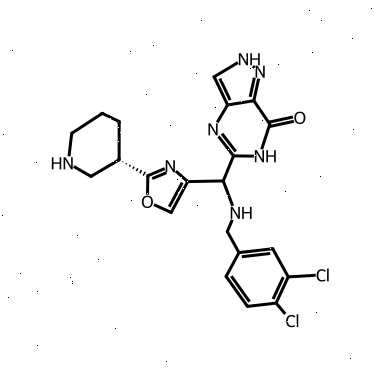 O=c1[nH]c(C(NCc2ccc(Cl)c(Cl)c2)c2coc([C@H]3CCCNC3)n2)nc2c[nH]nc12